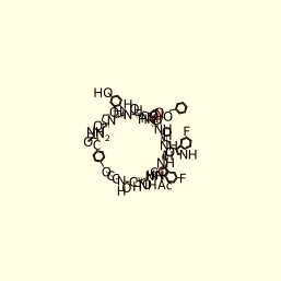 CC(=O)N[C@@H]1CC(=O)NCCOc2ccc(cc2)CC(C(N)=O)NC(=O)[C@]2(C)CCCN2C(=O)[C@H](Cc2ccc(O)cc2)NC(=O)[C@H](Cc2cnc[nH]2)NC(=O)[C@H](CC(=O)OCc2ccccc2)NC(=O)[C@H](CCc2c[nH]c3ccc(F)cc23)NC(=O)[C@H](Cc2c[nH]c3ccc(F)cc23)NC(=O)CNC1=O